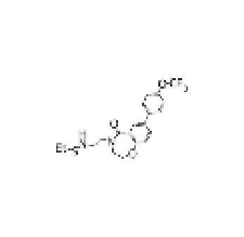 CCSNCCN1CCOc2ccc(-c3ccc(OC(F)(F)F)cc3)cc2C1=O